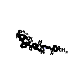 CO[C@H]1CC[C@H](NC/C=C/C(=O)Nc2ccc(C(=O)c3csc4c(-c5cc6ncn(C)c6cc5C)cccc34)cc2C#N)CC1